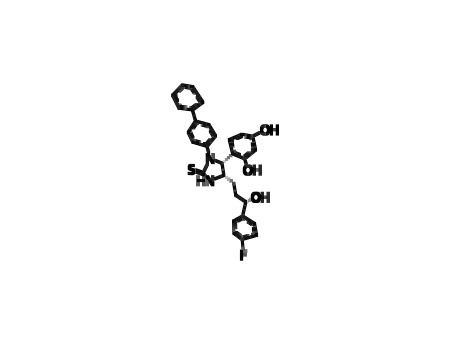 Oc1ccc([C@@H]2[C@H](CC[C@H](O)c3ccc(F)cc3)NC(=S)N2c2ccc(-c3ccccc3)cc2)c(O)c1